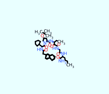 CCCCC(NC(=O)CNC(=O)C(=O)C(CC)NC(=O)[C@@H]1C[C@@H](OC(C)(C)C)CN1C(=O)C(NC(=O)Cc1ccc2ccccc2c1)C1CCCCC1)C(N)=O